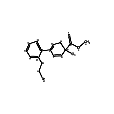 COC(=O)C1(Cl)C=CC(c2ccccc2CCBr)=CC1